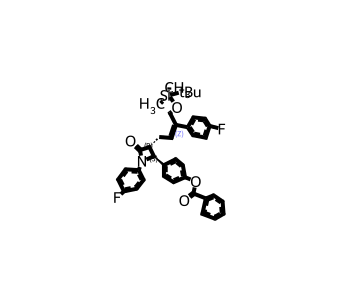 CC(C)(C)[Si](C)(C)OC/C(=C\C[C@H]1C(=O)N(c2ccc(F)cc2)[C@@H]1c1ccc(OC(=O)c2ccccc2)cc1)c1ccc(F)cc1